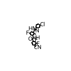 Cc1c(NC(=O)c2ccc(C#N)c(F)c2F)cc(F)cc1-c1nc2cc(Cl)ccc2[nH]1